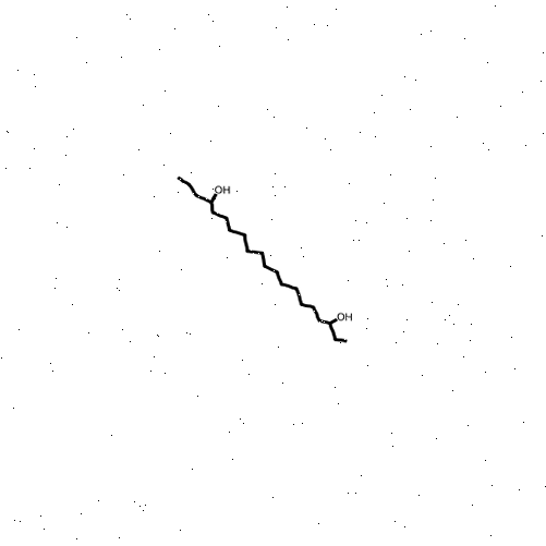 CCCC(O)CCCCCCCCCCCCCC(O)CC